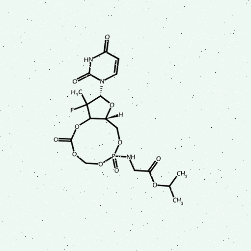 CC(C)OC(=O)CNP1(=O)OCOC(=O)OC2[C@@H](CO1)O[C@@H](n1ccc(=O)[nH]c1=O)C2(C)F